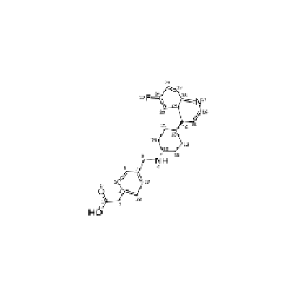 O=C(O)Cc1ccc(CN[C@H]2CC[C@H](C3C=CN=C4C=CC(F)=CC43)CC2)cc1